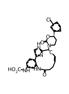 O=C(O)Nc1ccc2c(c1)NC(=O)CCC=CC[C@H](N1CC[C@H](c3cccc(Cl)c3)OC1=O)c1nc-2c[nH]1